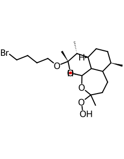 C[C@@H]1CC[C@@H]2C3C1CCC(C)(OO)O[C@H]3O[C@](C)(OCCCCBr)[C@@H]2C